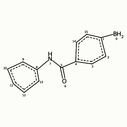 Bc1ccc(C(=O)Nc2ccccc2)cc1